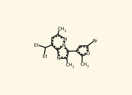 CCC(CC)c1cc(C)nn2c(-c3cc(Br)oc3C)c(C)nc12